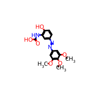 COc1cc(N=Nc2ccc(O)c(NC(=O)O)c2)cc(OC)c1OC